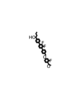 CCCC(O)c1ccc(-c2ccc(-c3ccc(COc4ccc(C5CO5)c(F)c4)cc3)c(F)c2F)cc1